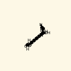 CC(C)(O)c1cc2nn(C3CCC(N4CCN(C5CCN(c6ccc(C(=O)N[C@H]7CCC(=O)NC7=O)cc6)CC5)CC4)CC3)cc2cc1NC(=O)c1ccc2cc(C#N)cnn12